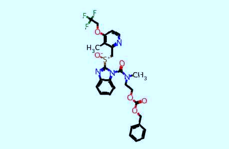 Cc1c(OCC(F)(F)F)ccnc1C[S+]([O-])c1nc2ccccc2n1C(=O)N(C)CCOC(=O)OCc1ccccc1